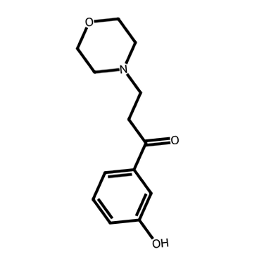 O=C(CCN1CCOCC1)c1cccc(O)c1